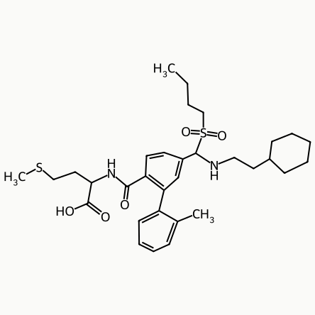 CCCCS(=O)(=O)C(NCCC1CCCCC1)c1ccc(C(=O)NC(CCSC)C(=O)O)c(-c2ccccc2C)c1